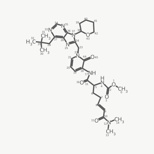 COC(=O)NC(CC/C=C/C(=O)N(C)C)C(=O)Nc1cccn(Cc2nc3c(CC(C)(C)C)ncnc3n2C2CCCCO2)c1=O